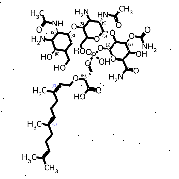 CC(=O)N[C@H]1C(N)[C@H](O[C@@H]2CC(CO)[C@@H](O)C(N)[C@@H]2NC(C)=O)C(CO)O[C@H]1OC1[C@H](OP(=O)(O)OC[C@@H](OC/C=C(/C)CC/C=C(\C)CCC=C(C)C)C(=O)O)OC(C(N)=O)C(O)[C@@H]1OC(N)=O